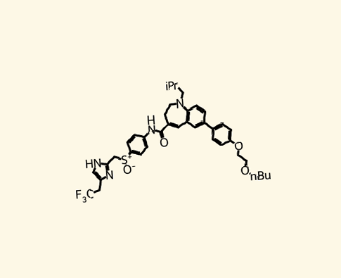 CCCCOCCOc1ccc(-c2ccc3c(c2)C=C(C(=O)Nc2ccc([S+]([O-])Cc4nc(CC(F)(F)F)c[nH]4)cc2)CCN3CC(C)C)cc1